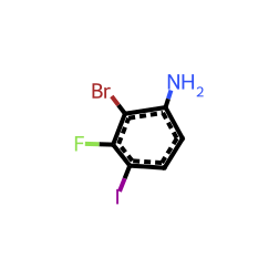 Nc1ccc(I)c(F)c1Br